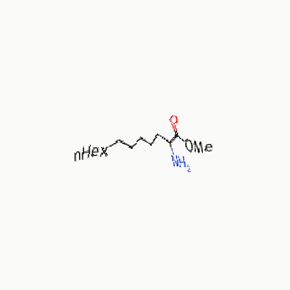 CCCCCCCCCCCC(N)C(=O)OC